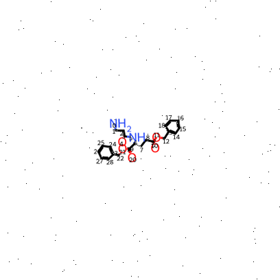 NCCC(=O)N[C@H](CCC(=O)OCc1ccccc1)C(=O)OCc1ccccc1